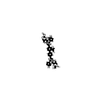 C=C(N[C@H](C(=O)N1C[C@@H]2CC[C@@]1(c1nc(-c3ccc(-c4ccc(-c5c[nH]c([C@@]67CC[C@@H](CN6C(=O)[C@@H](NC(=O)OC)C(C)C)C7)n5)c5occ(C)c45)cc3)c[nH]1)C2)C(C)C)OC